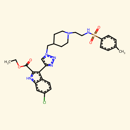 CCOC(=O)c1[nH]c2cc(Cl)ccc2c1-c1cn(CC2CCN(CCNS(=O)(=O)c3ccc(C)cc3)CC2)nn1